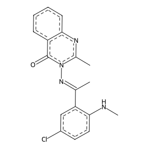 CNc1ccc(Cl)cc1/C(C)=N/n1c(C)nc2ccccc2c1=O